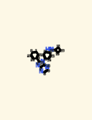 c1ccc(-c2nc3nccnc3n2-c2ccc(NC3CCC3)cc2)cc1